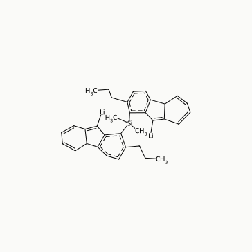 [Li][C]1=C2C=CC=CC2c2ccc(CCC)c([Si](C)(C)c3c(CCC)ccc4c3[C]([Li])=C3C=CC=CC34)c21